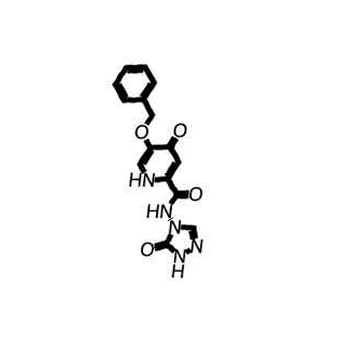 O=C(Nn1cn[nH]c1=O)c1cc(=O)c(OCc2ccccc2)c[nH]1